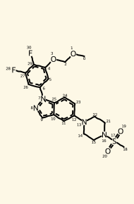 COCOc1cc(-n2ncc3cc(N4CCN(S(C)(=O)=O)CC4)ccc32)cc(F)c1F